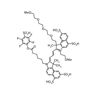 COCCOCCOCCOCCC1(C)C(/C=C/C=C2/N(CCCCCC(=O)Oc3c(F)c(F)c(S(=O)(=O)O)c(F)c3F)c3ccc4c(S(=O)(=O)O)cc(S(=O)(=O)O)cc4c3C2(C)C)=[N+](CCOC)c2cc(S(=O)(=O)O)c3ccc(S(=O)(=O)O)cc3c21